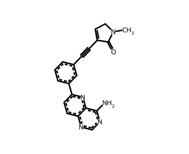 CN1CC=C(C#Cc2cccc(-c3ccc4ncnc(N)c4n3)c2)C1=O